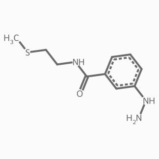 CSCCNC(=O)c1cccc(NN)c1